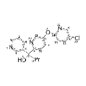 CC(C)C(O)(c1cccnc1)c1ccc(Oc2ccc(Cl)cn2)cn1